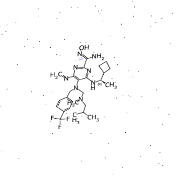 C=Nc1nc(/C(N)=N/O)nc(N[C@H](C)C2CCC2)c1N(Cc1ccc(C(F)(F)F)cc1)CN(C)CC(C)C